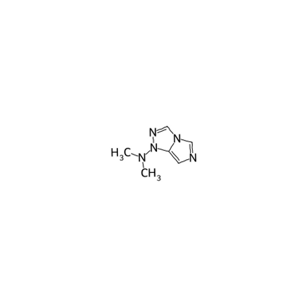 CN(C)n1ncn2cncc12